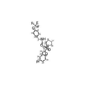 O=C(NCc1ccc(OC(F)(F)F)cc1)[C@@H]1CCCN1S(=O)(=O)c1cc2cc(F)ccc2o1